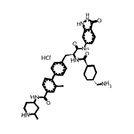 Cc1cc(C(=O)NC2CCNC(C)C2)ccc1-c1ccc(C[C@H](NC(=O)[C@H]2CC[C@H](CN)CC2)C(=O)Nc2ccc3c(=O)[nH][nH]c3c2)cc1.Cl